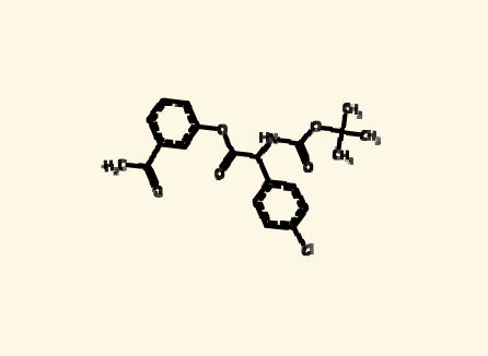 [CH2]C(=O)c1cccc(OC(=O)C(NC(=O)OC(C)(C)C)c2ccc(Cl)cc2)c1